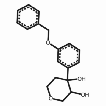 OC1COCCC1(O)c1cccc(OCc2ccccc2)c1